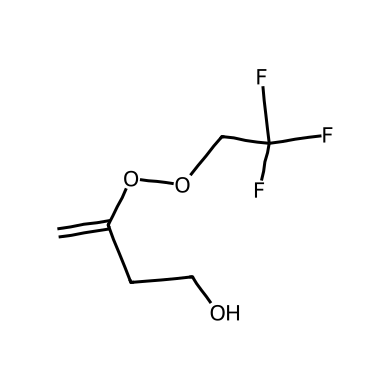 C=C(CCO)OOCC(F)(F)F